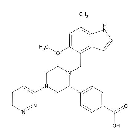 COc1cc(C)c2[nH]ccc2c1CN1CCN(c2cccnn2)C[C@H]1c1ccc(C(=O)O)cc1